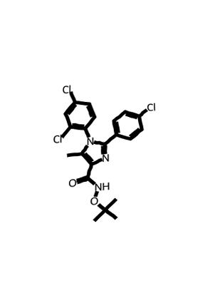 Cc1c(C(=O)NOC(C)(C)C)nc(-c2ccc(Cl)cc2)n1-c1ccc(Cl)cc1Cl